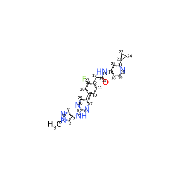 Cn1cc(Nc2ncc(-c3ccc(CC(=O)Nc4ccnc(C5CC5)c4)c(F)c3)cn2)cn1